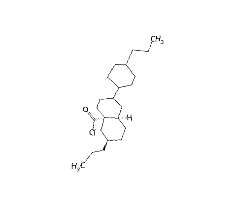 CCCC1CCC(C2CC[C@]3(C(=O)Cl)C[C@H](CCC)CC[C@@H]3C2)CC1